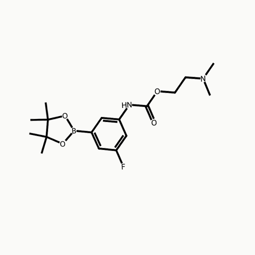 CN(C)CCOC(=O)Nc1cc(F)cc(B2OC(C)(C)C(C)(C)O2)c1